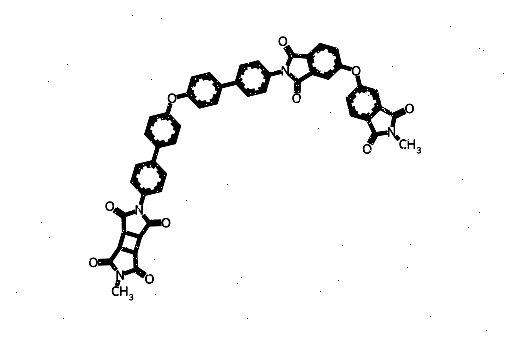 CN1C(=O)c2ccc(Oc3ccc4c(c3)C(=O)N(c3ccc(-c5ccc(Oc6ccc(-c7ccc(N8C(=O)C9C%10C(=O)N(C)C(=O)C%10C9C8=O)cc7)cc6)cc5)cc3)C4=O)cc2C1=O